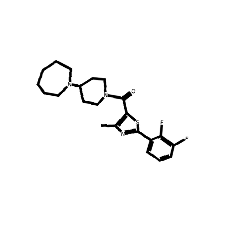 Cc1nc(-c2cccc(F)c2F)sc1C(=O)N1CCC(N2CCCCCC2)CC1